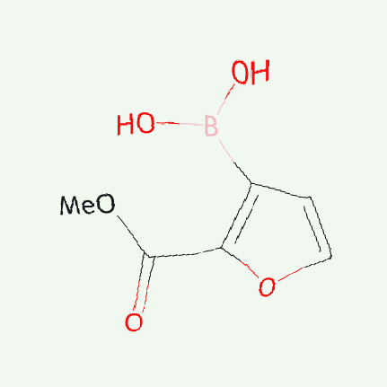 COC(=O)c1occc1B(O)O